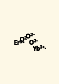 [Er+3].[O-2].[O-2].[O-2].[Yb+3]